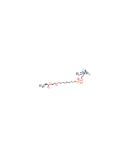 C=CC(=O)OCCOCCCCCCCCCOP(=O)([O-])OCC[N+](C)(C)C